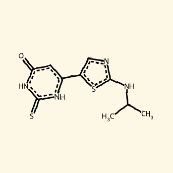 CC(C)Nc1ncc(-c2cc(=O)[nH]c(=S)[nH]2)s1